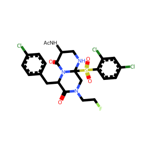 CC(=O)NC1CNC2(S(=O)(=O)c3ccc(Cl)cc3Cl)CN(CCF)C(=O)C(Cc3ccc(Cl)cc3)N2C1=O